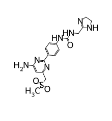 CS(=O)(=O)Cc1cc(N)nc(-c2ccc(NC(=O)NCC3=NCCN3)cc2)n1